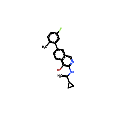 C=C(Nc1ncc2cc(-c3cc(F)ccc3C)ccc2c1Br)C1CC1